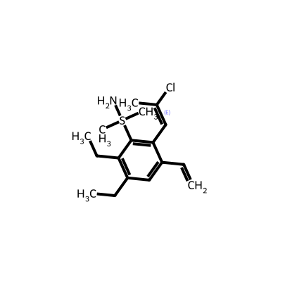 C=Cc1cc(CC)c(CC)c(S(C)(C)N)c1/C=C(\C)Cl